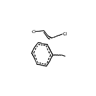 Cc1ccccc1.Cl/C=C/Cl